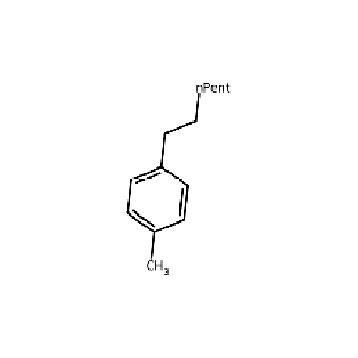 [CH2]CCCCCCc1ccc(C)cc1